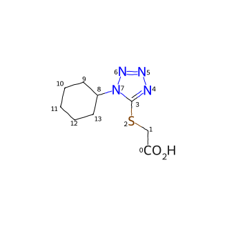 O=C(O)CSc1nnnn1C1CCCCC1